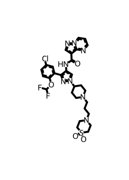 O=C(Nc1cn(C2CCN(CCCN3CCS(=O)(=O)CC3)CC2)nc1-c1cc(Cl)ccc1OC(F)F)c1cnn2cccnc12